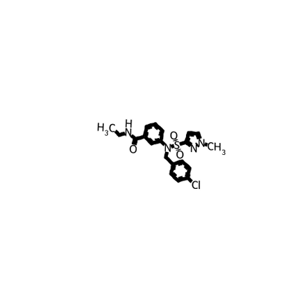 CCNC(=O)c1cccc(N(Cc2ccc(Cl)cc2)S(=O)(=O)c2ccn(C)n2)c1